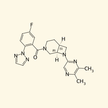 Cc1ncc(N2C[C@@H]3CCN(C(=O)c4cc(F)ccc4-n4nccn4)C[C@@H]32)nc1C